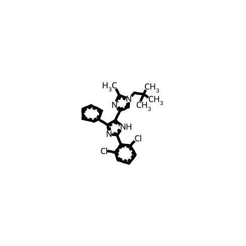 Cc1nc(-c2[nH]c(-c3c(Cl)cccc3Cl)nc2-c2ccccc2)cn1CC(C)(C)C